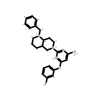 Fc1cccc(Oc2cc(C(F)(F)F)nc(N3CCC4C(CCCN4Cc4ccccc4)C3)n2)c1